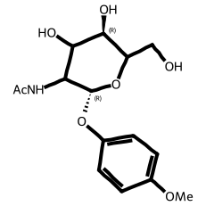 COc1ccc(O[C@H]2OC(CO)[C@H](O)C(O)C2NC(C)=O)cc1